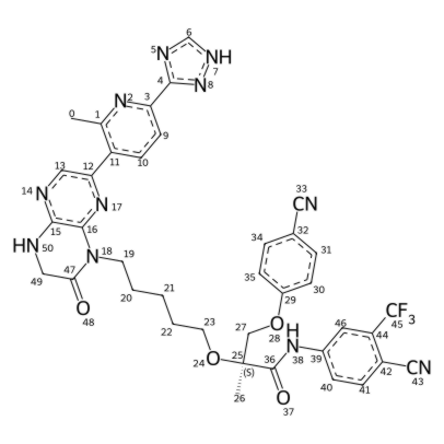 Cc1nc(-c2nc[nH]n2)ccc1-c1cnc2c(n1)N(CCCCCO[C@@](C)(COc1ccc(C#N)cc1)C(=O)Nc1ccc(C#N)c(C(F)(F)F)c1)C(=O)CN2